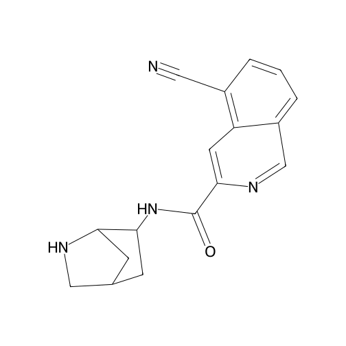 N#Cc1cccc2cnc(C(=O)NC3CC4CNC3C4)cc12